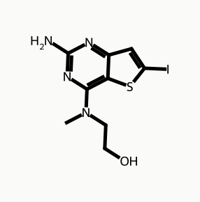 CN(CCO)c1nc(N)nc2cc(I)sc12